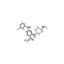 Cc1cccc(Nc2ncc(C(N)=O)c(N[C@H]3CC[C@H](N)CC3)n2)c1